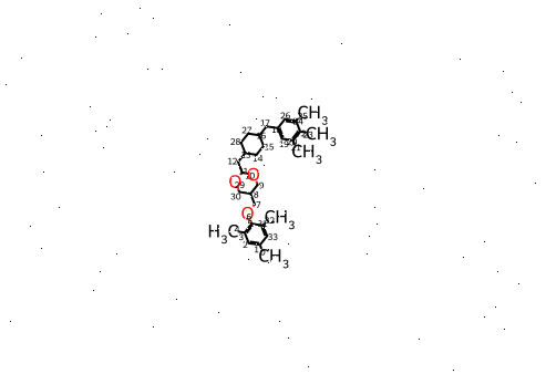 Cc1cc(C)c(OCC2COC(CC3CCC(Cc4cc(C)c(C)c(C)c4)CC3)OC2)c(C)c1